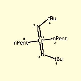 CCCC[CH2][Cr]([CH2]CCCC)(=[N]C(C)(C)C)=[N]C(C)(C)C